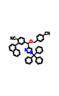 N#Cc1ccc(COC(c2ccc(C#N)c(-c3cccc4ccccc34)c2)c2cn(C(c3ccccc3)(c3ccccc3)c3ccccc3)cn2)cc1